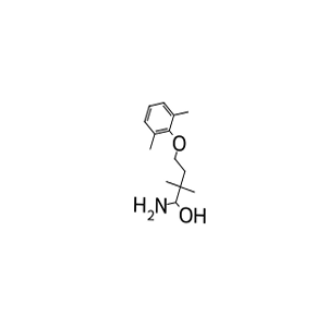 Cc1cccc(C)c1OCCC(C)(C)C(N)O